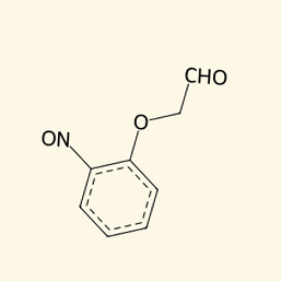 O=CCOc1ccccc1N=O